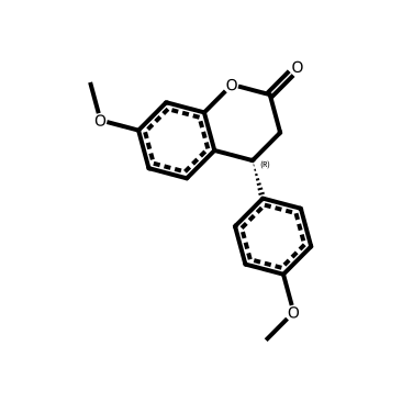 COc1ccc([C@H]2CC(=O)Oc3cc(OC)ccc32)cc1